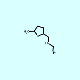 CC(C)CNCC1CCC(C)O1